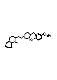 CC(C)Oc1ccc(Br)c(CC2CCN(CCC3CCc4ccccc4N3C)CC2)c1